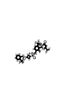 O=c1cc(C(F)F)nc(-c2c(C(F)(F)F)ccc(CNC(=O)[C@H]3C[C@H](OCc4ccccc4C(F)(F)F)C3)c2F)[nH]1